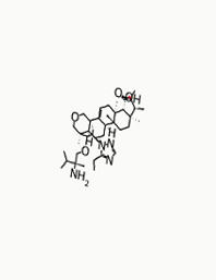 CCc1ncnn1[C@@H]1C[C@@]23COC[C@@](C)([C@@H]2CC[C@H]2C3=CC[C@@]3(C)[C@H](C(=O)O)[C@@](C)([C@H](C)C(C)C)CC[C@]23C)[C@H]1OC[C@](C)(N)C(C)C